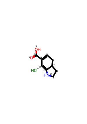 Cl.O=C(O)C1=CCC2CCNC2=C1